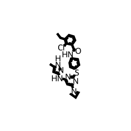 CCc1cccc(C(=O)Nc2ccc(Sc3nc(Nc4cc(C)[nH]n4)cc(N4CCC4)n3)cc2)c1Cl